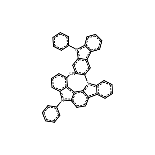 N#Cc1cccc2c1c1c(ccc3c4ccccc4n(-c4ccc5c(c4)c4ccccc4n5-c4ccccc4)c31)n2-c1ccccc1